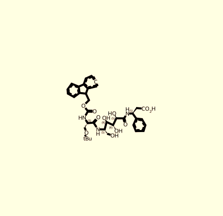 CC(C)(C)OC[C@H](NC(=O)OCC1c2ccccc2-c2ccccc21)C(=O)N[C@@H](CO)[C@@H](O)[C@@H](O)[C@H](O)C(=O)N[C@@H](CC(=O)O)c1ccccc1